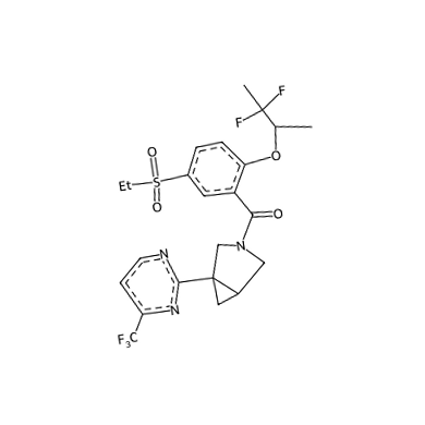 CCS(=O)(=O)c1ccc(OC(C)C(C)(F)F)c(C(=O)N2CC3CC3(c3nccc(C(F)(F)F)n3)C2)c1